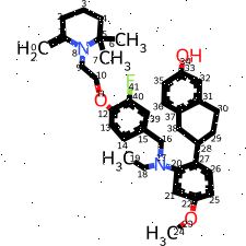 C=C1CCCC(C)(C)N1CCOc1ccc(CN(CC)c2cc(OC)ccc2C2CCc3cc(O)ccc3C2)cc1F